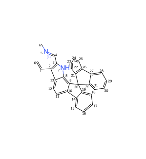 C=Cc1c(/C=N/C)[nH]c2c3c(ccc12)-c1ccccc1C31c2c#cccc2-c2ccccc21